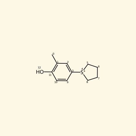 Cc1cc([S+]2CCCC2)ccc1O